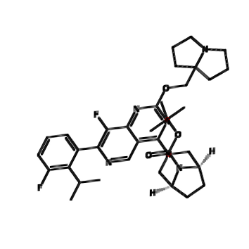 CC(C)c1c(F)cccc1-c1ncc2c(N3C[C@H]4CC[C@@H](C3)N4C(=O)OC(C)(C)C)nc(OCC34CCCN3CCC4)nc2c1F